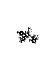 Cn1cc(-c2nc(CNC(=O)c3c(F)cccc3C(F)(F)F)c(N)nc2-c2ccc(F)cc2)ccc1=O